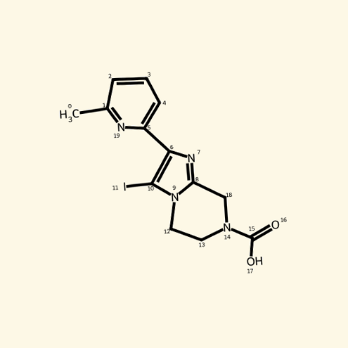 Cc1cccc(-c2nc3n(c2I)CCN(C(=O)O)C3)n1